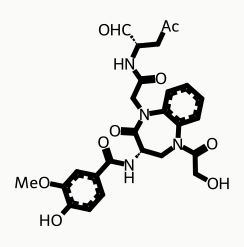 COc1cc(C(=O)N[C@H]2CN(C(=O)CO)c3ccccc3N(CC(=O)N[C@H](C=O)CC(C)=O)C2=O)ccc1O